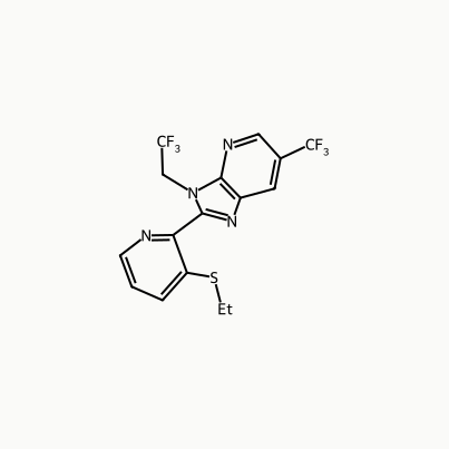 CCSc1cccnc1-c1nc2cc(C(F)(F)F)cnc2n1CC(F)(F)F